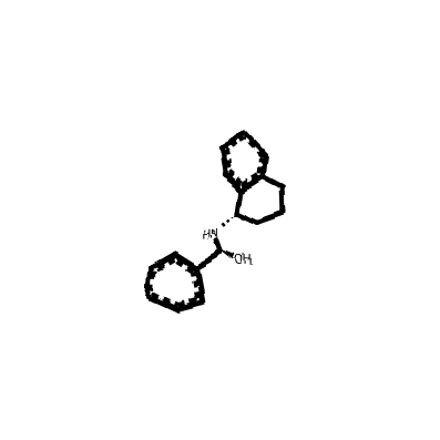 O[C@H](N[C@H]1CCCc2ccccc21)c1ccccc1